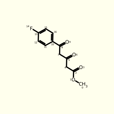 COC(=O)CC(=O)CC(=O)c1ccc(F)cc1